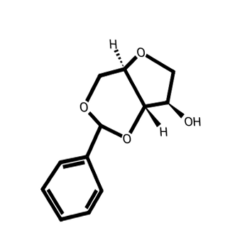 O[C@@H]1CO[C@@H]2COC(c3ccccc3)O[C@@H]12